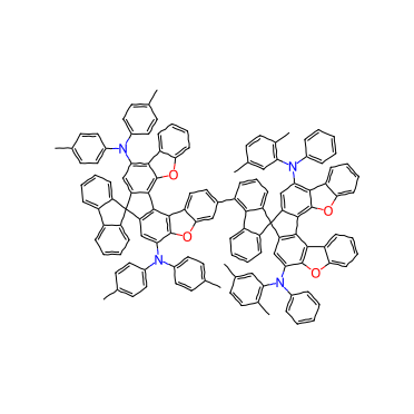 Cc1ccc(N(c2ccc(C)cc2)c2cc3c(c4c2oc2cc(-c5cccc6c5-c5ccccc5C65c6cc(N(c7ccccc7)c7cc(C)ccc7C)c7c(oc8ccccc87)c6-c6c5cc(N(c5ccccc5)c5cc(C)ccc5C)c5oc7ccccc7c65)ccc24)-c2c(cc(N(c4ccc(C)cc4)c4ccc(C)cc4)c4c2oc2ccccc24)C32c3ccccc3-c3ccccc32)cc1